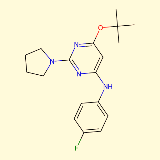 CC(C)(C)Oc1cc(Nc2ccc(F)cc2)nc(N2CCCC2)n1